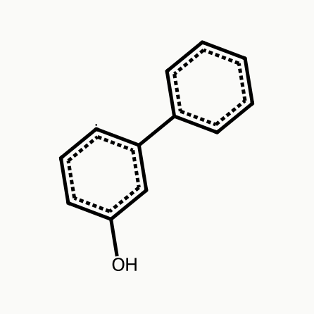 Oc1cc[c]c(-c2ccccc2)c1